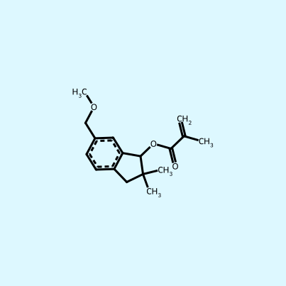 C=C(C)C(=O)OC1c2cc(COC)ccc2CC1(C)C